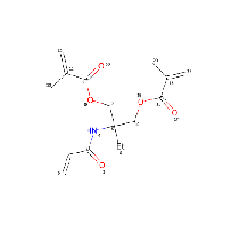 C=CC(=O)NC(CC)(COC(=O)C(=C)C)COC(=O)C(=C)C